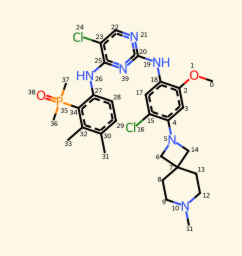 COc1cc(N2CC3(CCN(C)CC3)C2)c(Cl)cc1Nc1ncc(Cl)c(Nc2ccc(C)c(C)c2P(C)(C)=O)n1